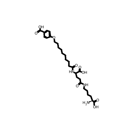 N[C@@H](CCCCNC(=O)CCC(NC(=O)CCCCCCCCCOc1ccc(C(=O)O)cc1)C(=O)O)C(=O)O